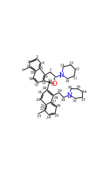 Cc1cccc2c(CCN3CCCCC3)c(C(=O)c3ccc4c(C)cccc4c3CCN3CCCCC3)ccc12